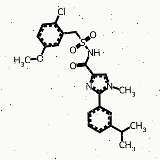 COc1ccc(Cl)c(CS(=O)(=O)NC(=O)c2cn(C)c(-c3cccc(C(C)C)c3)n2)c1